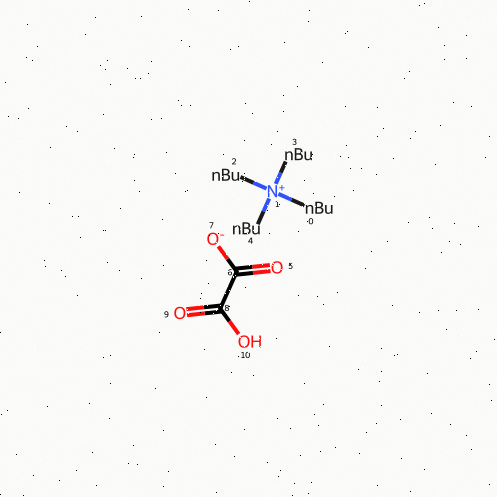 CCCC[N+](CCCC)(CCCC)CCCC.O=C([O-])C(=O)O